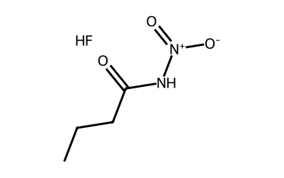 CCCC(=O)N[N+](=O)[O-].F